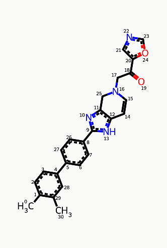 Cc1ccc(-c2ccc(-c3nc4c([nH]3)C=CN(CC(=O)c3cnco3)C4)cc2)cc1C